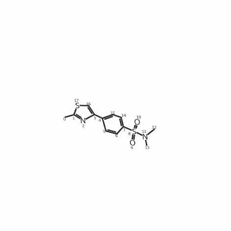 Cc1nc(-c2ccc(S(=O)(=O)N(C)C)cc2)cs1